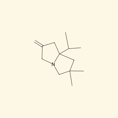 C=C1CN2CC(C)(C)CC2(C(C)C)C1